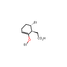 CCOC1=CCC[C@H](CC)[C@H]1CC(=O)O